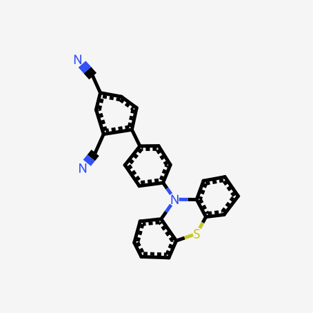 N#Cc1ccc(-c2ccc(N3c4ccccc4Sc4ccccc43)cc2)c(C#N)c1